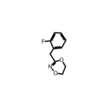 Fc1ccccc1CC1=NOCCO1